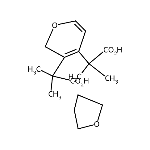 C1CCOC1.CC(C)(C(=O)O)C1=C(C(C)(C)C(=O)O)COC=C1